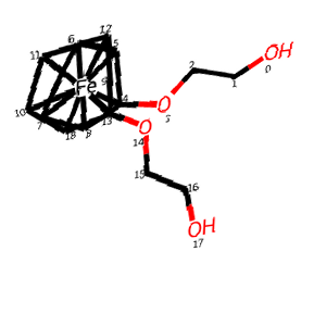 OCCO[C]12[CH]3[CH]4[CH]5[CH]1[Fe]45321678[CH]2[CH]1[CH]6[C]7(OCCO)[CH]28